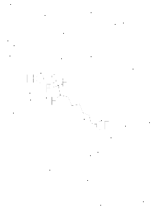 O=S(=O)(O)C(F)(F)C(F)CCCCCCC(F)(F)F